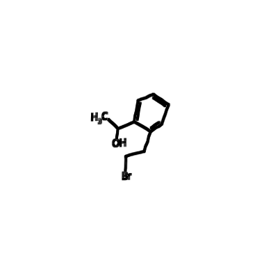 CC(O)c1ccccc1CCBr